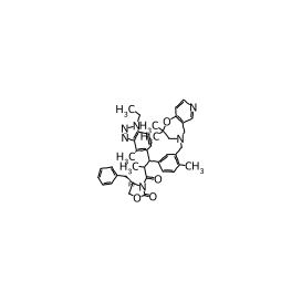 CCn1nnc2c(C)c(C(c3ccc(C)c(CN4Cc5cnccc5OC(C)(C)C4)c3)C(C)C(=O)N3C(=O)OC[C@H]3Cc3ccccc3)ccc21